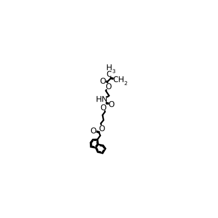 C=C(C)C(=O)OCCNC(=O)OCCCCOC(=O)Cc1cccc2ccccc12